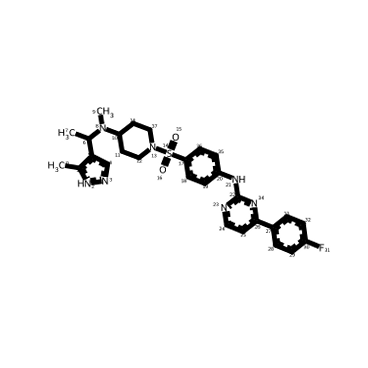 Cc1[nH]ncc1C(C)N(C)C1CCN(S(=O)(=O)c2ccc(Nc3nccc(-c4ccc(F)cc4)n3)cc2)CC1